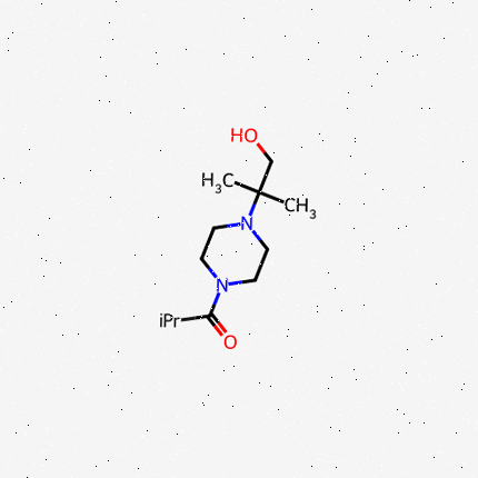 CC(C)C(=O)N1CCN(C(C)(C)CO)CC1